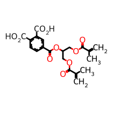 C=C(C)C(=O)OCC(COC(=O)C(=C)C)OC(=O)c1ccc(C(=O)O)c(C(=O)O)c1